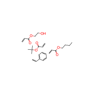 C=CC(=O)OC(C)(C)C.C=CC(=O)OCCCC.C=CC(=O)OCCO.C=Cc1ccccc1